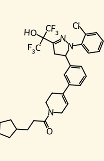 O=C(CCC1CCCC1)N1CC=C(c2cccc(C3CC(C(O)(C(F)(F)F)C(F)(F)F)=NN3c3ccccc3Cl)c2)CC1